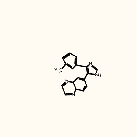 Cc1cccc(-c2nc[nH]c2C2=CC3N=CC=NC3C=C2)c1